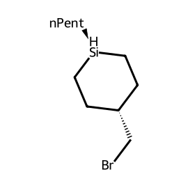 CCCCC[Si@H]1CC[C@H](CBr)CC1